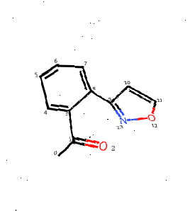 CC(=O)c1ccccc1-c1ccon1